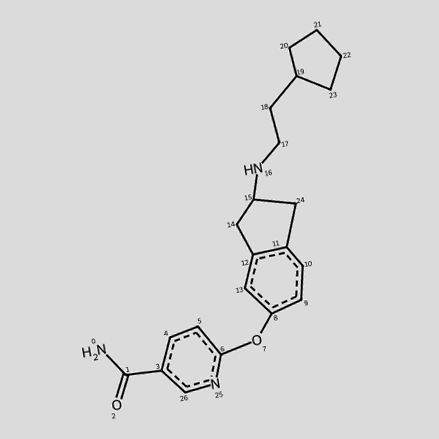 NC(=O)c1ccc(Oc2ccc3c(c2)CC(NCCC2CCCC2)C3)nc1